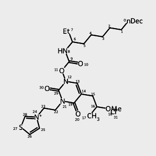 CCCCCCCCCCCCCCCC(CC)NC(=O)On1cc(CC(C)OC)c(=O)n(CC[n+]2ccsc2)c1=O.[Cl-]